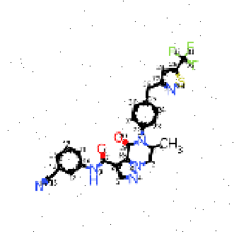 CC1Cn2ncc(C(=O)Nc3cccc(C#N)c3)c2C(=O)N1c1ccc(Cc2cc(C(F)(F)F)sn2)cc1